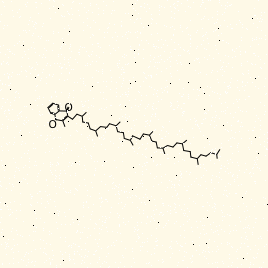 CC1=C(CCC(C)CCCC(C)CCCC(C)CCCC(C)CCCC(C)CCCC(C)CCCC(C)CCCC(C)CCCC(C)C)C(=O)c2ccccc2C1=O